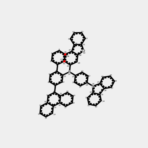 c1ccc(-c2ccc(-c3cc4ccccc4c4ccccc34)cc2N(c2ccc(-n3c4ccccc4c4ccccc43)cc2)c2ccc3c(c2)oc2ccccc23)cc1